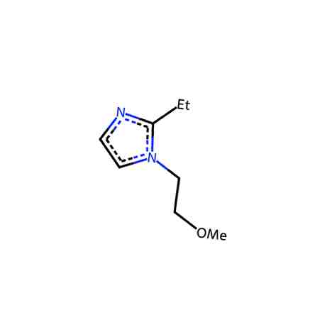 CCc1nccn1CCOC